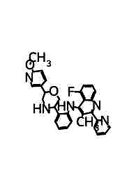 COc1ccc(C2CNC(c3ccccc3Nc3c(C)c(-c4ccccn4)nc4cccc(F)c34)CO2)cn1